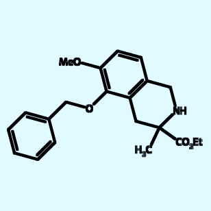 CCOC(=O)C1(C)Cc2c(ccc(OC)c2OCc2ccccc2)CN1